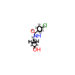 O=C(NC[C@@H]1[C@H]2C[C@@H](O)C[C@@H]12)c1ccc(Cl)cc1